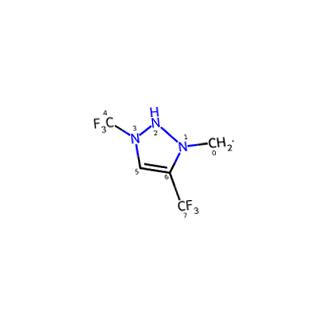 [CH2]N1NN(C(F)(F)F)C=C1C(F)(F)F